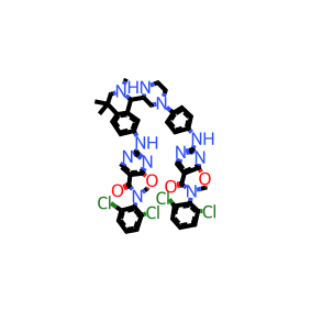 CN1CC(C)(C)c2ccc(Nc3ncc4c(n3)OCN(c3c(Cl)cccc3Cl)C4=O)cc2C1C1CN(c2ccc(Nc3ncc4c(n3)OCN(c3c(Cl)cccc3Cl)C4=O)cc2)CCN1